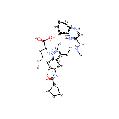 CCCCCC(=O)O.Cc1[nH]c2ccc(NC(=O)C3CCCC3)cc2c1CCN(C)Cc1cnc2ccccc2n1